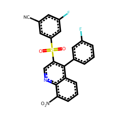 N#Cc1cc(F)cc(S(=O)(=O)c2cnc3c([N+](=O)[O-])cccc3c2-c2cccc(F)c2)c1